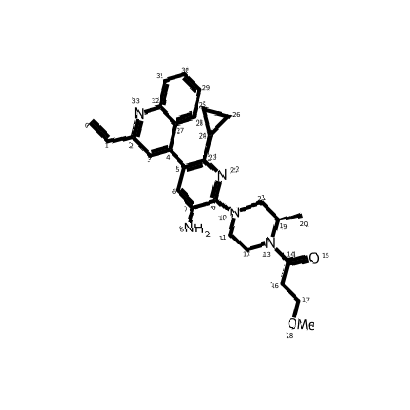 C=Cc1cc(-c2cc(N)c(N3CCN(C(=O)CCOC)[C@H](C)C3)nc2C2CC2)c2ccccc2n1